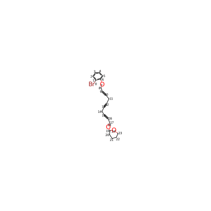 Brc1ccccc1OCC#CCC#CCC#CCOC1CCCCO1